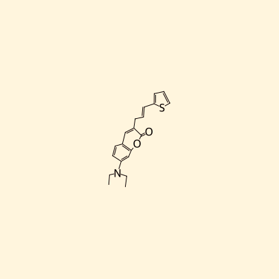 CCN(CC)c1ccc2cc(C/C=C/c3cccs3)c(=O)oc2c1